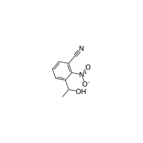 CC(O)c1cccc(C#N)c1[N+](=O)[O-]